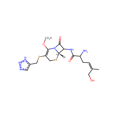 CC(=CCC(N)C(=O)NC1C(=O)N2C(OC(=O)O)=C(SCc3cnn[nH]3)CS[C@@H]12)CO